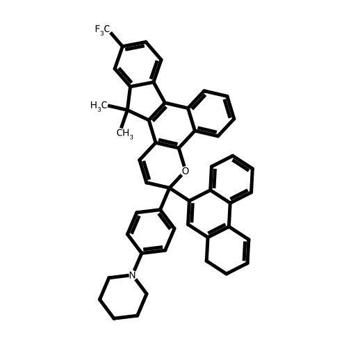 CC1(C)c2cc(C(F)(F)F)ccc2-c2c1c1c(c3ccccc23)OC(c2ccc(N3CCCCC3)cc2)(c2cc3c(c4ccccc24)C=CCC3)C=C1